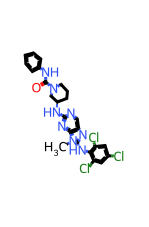 Cn1c(Nc2c(Cl)cc(Cl)cc2Cl)nc2cnc(N[C@@H]3CCCN(C(=O)Nc4ccccc4)C3)nc21